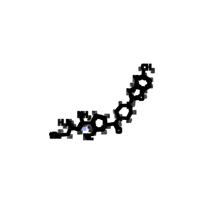 Cc1ccc2oc(N3CCN(C(=O)c4ccc(/C(N)=C/N(N)CC(C)(C)C)c(C#N)c4)CC3)nc2n1